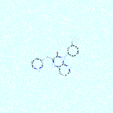 CNc1cccc(-n2c(=O)c(Cc3cccnc3)nc3cccnc32)c1